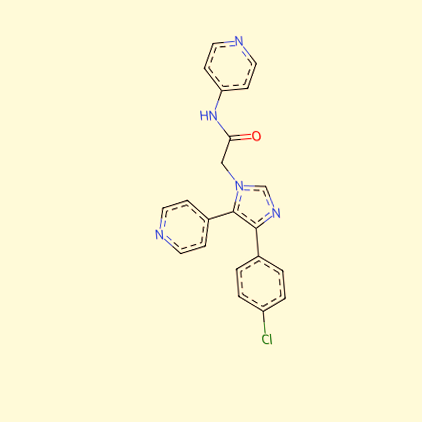 O=C(Cn1cnc(-c2ccc(Cl)cc2)c1-c1ccncc1)Nc1ccncc1